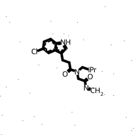 C=NC(=O)CN(CC(C)C)C(=O)CCc1c[nH]c2ccc(Cl)cc12